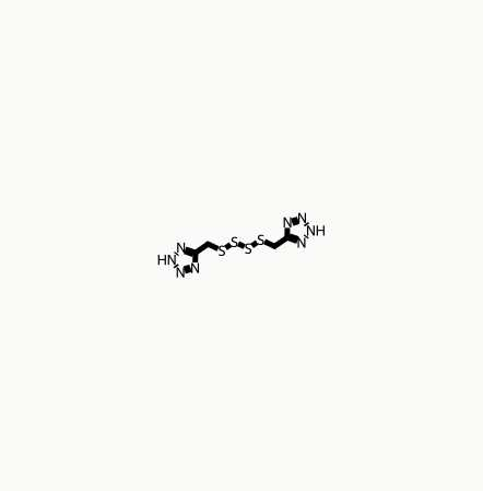 C(SSSSCc1nn[nH]n1)c1nn[nH]n1